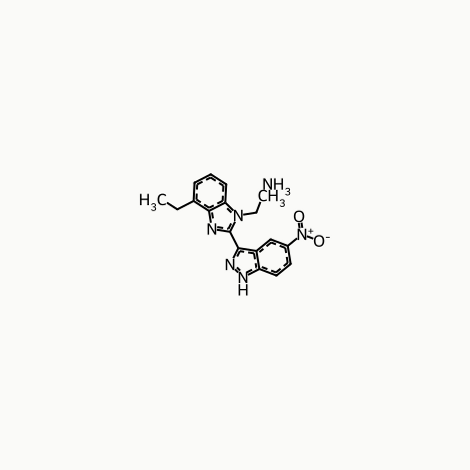 CCc1cccc2c1nc(-c1n[nH]c3ccc([N+](=O)[O-])cc13)n2CC.N